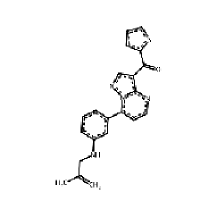 C=C(C)CNc1cccc(-c2ccnc3c(C(=O)c4cccs4)cnn23)c1